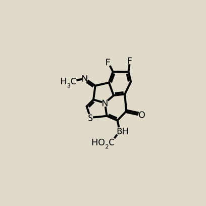 CN=c1c2c(F)c(F)cc3c(=O)c(BC(=O)O)c4scc1n4c32